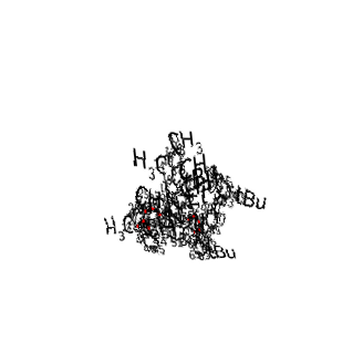 CCC1(C)c2cc(-c3c(C)cc(C)cc3C)ccc2N2c3ccc(-c4c(C)cc(C)cc4C)cc3N(c3c(-c4cccc5c4-c4ccccc4C5)cccc3-c3cccc4c3-c3ccccc3C4)c3cc(-n4c5ccc(C(C)(C)C)cc5c5ccc(-c6cc(C(C)(C)C)cc(C(C)(C)C)c6)cc54)cc1c32